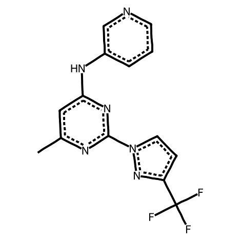 Cc1cc(Nc2cccnc2)nc(-n2ccc(C(F)(F)F)n2)n1